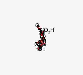 C[C@@H](OC(=O)C1(N(C)C(=O)OC(C)(C)C)CC1)C(=O)N(C)[C@@H](CC(C)(C)F)C(=O)O[C@H](Cc1ccc(C2CCOCC2)cc1)C(=O)N(C)C1(C(=O)O[C@H](C)C(=O)N(C)[C@@H](CC(C)(C)F)C(=O)OC(Cc2ccc(C3=CCOCC3)cc2)C(=O)O)CC1